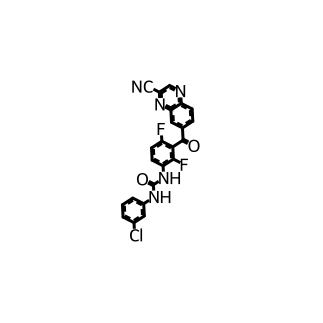 N#Cc1cnc2ccc(C(=O)c3c(F)ccc(NC(=O)Nc4cccc(Cl)c4)c3F)cc2n1